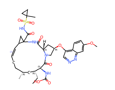 CC[C@@H]1C[C@H](C)CC/C=C\C2CC2(C(=O)NS(=O)(=O)C2(C)CC2)NC(=O)[C@@H]2C[C@@H](Oc3cnnc4cc(OC)ccc34)CN2C(=O)[C@H]1NC(=O)O